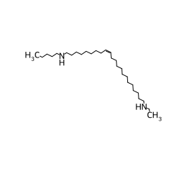 CCCCCNCCCCCCCC/C=C\CCCCCCCCCCCCNCC